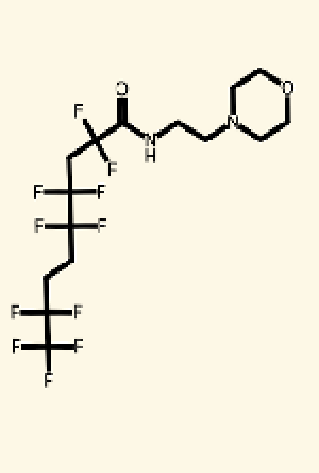 O=C(NCCN1CCOCC1)C(F)(F)CC(F)(F)C(F)(F)CCC(F)(F)C(F)(F)F